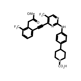 COC(=O)Cc1c(C#Cc2nc(Nc3ccc(C4CCN(C(=O)O)CC4)cc3)ncc2C(F)(F)F)cccc1C(F)(F)F